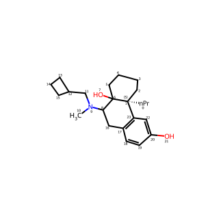 CCC[C@@]12CCCCC1(O)C(N(C)CC1CCC1)Cc1ccc(O)cc12